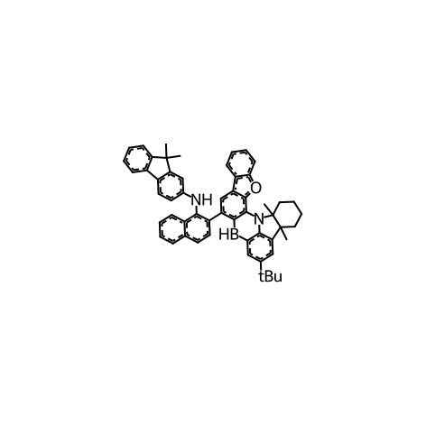 CC(C)(C)c1cc2c3c(c1)C1(C)CCCCC1(C)N3c1c(c(-c3ccc4ccccc4c3Nc3ccc4c(c3)C(C)(C)c3ccccc3-4)cc3c1oc1ccccc13)B2